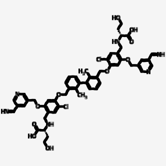 Cc1c(COc2cc(OCc3cncc(C=N)c3)c(CN[C@H](CCO)C(=O)O)cc2Cl)cccc1-c1cccc(COc2cc(OCc3cncc(C=N)c3)c(CN[C@H](CCO)C(=O)O)cc2Cl)c1C